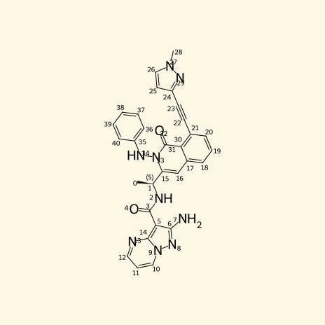 C[C@H](NC(=O)c1c(N)nn2cccnc12)c1cc2cccc(C#Cc3ccn(C)n3)c2c(=O)n1Nc1ccccc1